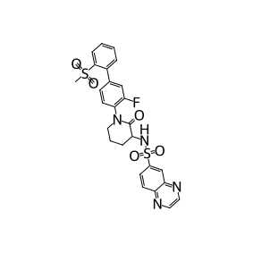 CS(=O)(=O)c1ccccc1-c1ccc(N2CCCC(NS(=O)(=O)c3ccc4nccnc4c3)C2=O)c(F)c1